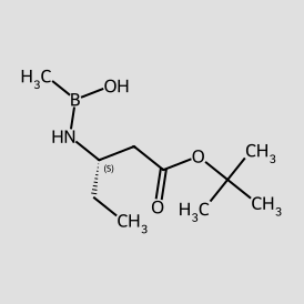 CC[C@@H](CC(=O)OC(C)(C)C)NB(C)O